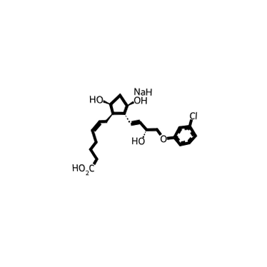 O=C(O)CCC/C=C\C[C@@H]1[C@@H](/C=C/[C@@H](O)COc2cccc(Cl)c2)[C@H](O)C[C@@H]1O.[NaH]